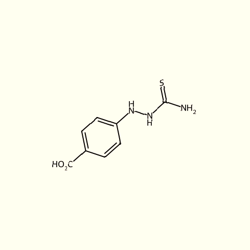 NC(=S)NNc1ccc(C(=O)O)cc1